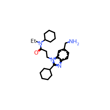 CCN(C(=O)CCn1c(C2CCCCC2)nc2ccc(CN)cc21)C1CCCCC1